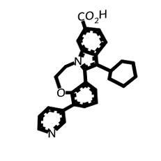 O=C(O)c1ccc2c(C3CCCCC3)c3n(c2c1)CCOc1c(-c2cccnc2)cccc1-3